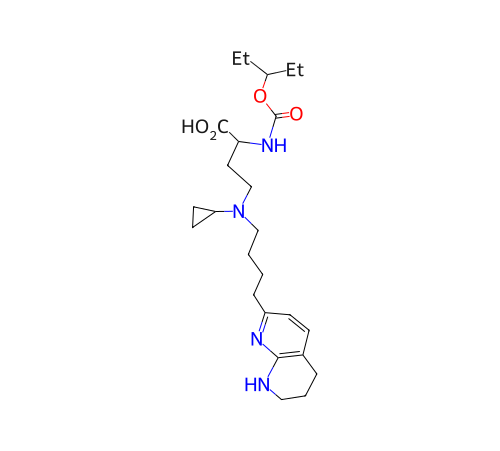 CCC(CC)OC(=O)NC(CCN(CCCCc1ccc2c(n1)NCCC2)C1CC1)C(=O)O